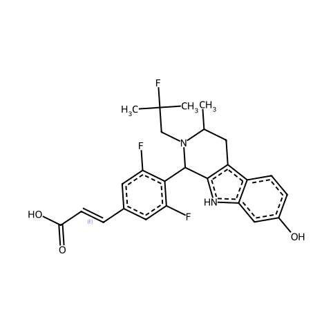 CC1Cc2c([nH]c3cc(O)ccc23)C(c2c(F)cc(/C=C/C(=O)O)cc2F)N1CC(C)(C)F